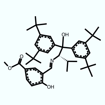 COC(=O)c1ccc(O)c(C=N[C@@H](C(C)C)C(O)(c2cc(C(C)(C)C)cc(C(C)(C)C)c2)c2cc(C(C)(C)C)cc(C(C)(C)C)c2)c1